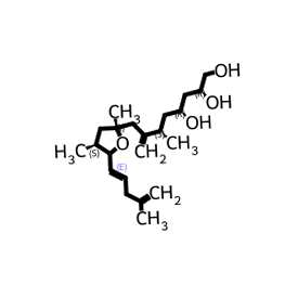 C=C(C)C/C=C/C1O[C@@](C)(CC(=C)[C@@H](C)C[C@@H](O)C[C@@H](O)CO)C[C@@H]1C